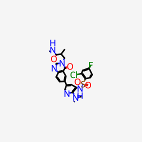 CNC(=O)C(C)Cn1cnc2ccc(-c3cnc(N(C)C)c(NS(=O)(=O)c4ccc(F)cc4Cl)c3)cc2c1=O